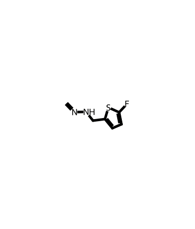 C=NNCc1ccc(F)s1